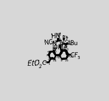 CCOC(=O)Cc1ccc(OC)c(-c2ccc(C(F)(F)F)cc2C[N+](CC)(CC(C)(C)C)C(=N)NC#N)c1